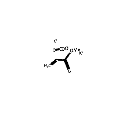 C=CC(=O)OC.O=C([O-])[O-].[K+].[K+]